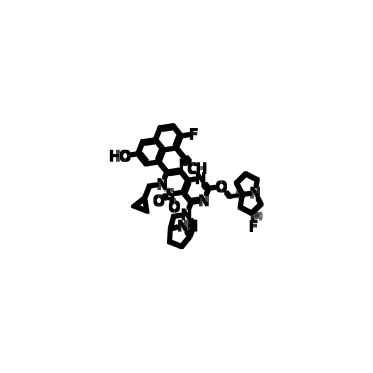 C#Cc1c(F)ccc2cc(O)cc(C3=C(F)c4nc(OC[C@@]56CCCN5C[C@H](F)C6)nc(N5CC6CCC(C5)N6)c4S(=O)(=O)N3CC3CC3)c12